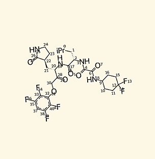 CC(C)C[C@H](NC(=O)C(=O)NC1CCC(F)(F)CC1)C(=O)N[C@@H](C[C@@H]1CCNC1=O)C(=O)COc1c(F)c(F)cc(F)c1F